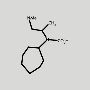 CNCC(C)N(C(=O)O)C1CCCCCC1